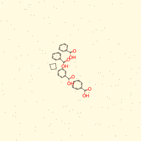 C1CCC1.O=C(O)c1ccccc1.O=C(O)c1ccccc1.O=C(O)c1ccccc1.O=C(O)c1ccccc1